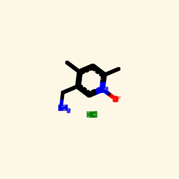 Cc1cc(C)[n+]([O-])cc1CN.Cl